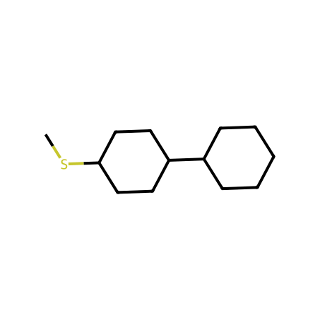 CSC1CCC(C2CCCCC2)CC1